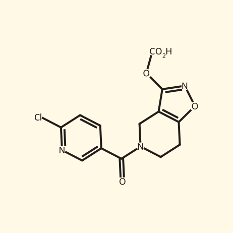 O=C(O)Oc1noc2c1CN(C(=O)c1ccc(Cl)nc1)CC2